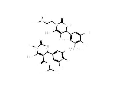 CCN1C(=O)NC(c2cc(C)c(O)c(OC)c2)C(C(=O)OC(C)C(C)(C)C)=C1C.COc1cc(C2NC(=O)N(CCN(C)C)C(C)=C2C(=O)O)cc(C)c1O